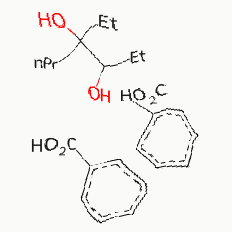 CCCC(O)(CC)C(O)CC.O=C(O)c1ccccc1.O=C(O)c1ccccc1